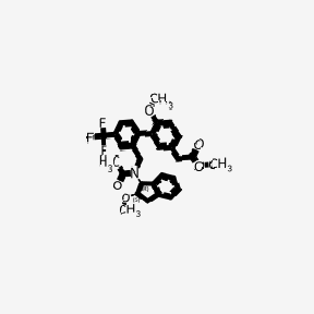 COC(=O)Cc1ccc(OC)c(-c2ccc(C(F)(F)F)cc2CN(C(C)=O)[C@@H]2c3ccccc3C[C@@H]2OC)c1